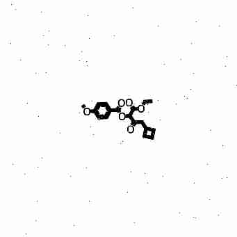 CCOC(=O)C(OC(=O)c1ccc(OC)cc1)C(=O)CC1CCC1